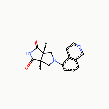 O=C1NC(=O)[C@@H]2CN(c3cccc4cnccc34)C[C@H]12